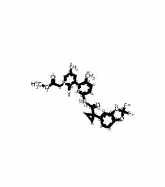 COC(=O)Cn1cc(C)cc(-c2nc(NC(=O)C3(c4ccc5c(c4)OC(F)(F)O5)CC3)ccc2C)c1=O